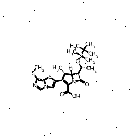 CSc1ncn2cc(C3=C(C(=O)O)N4C(=O)[C@H]([C@@H](C)O[Si](C)(C)C(C)(C)C)[C@H]4[C@H]3C)sc12